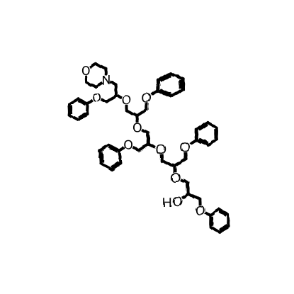 OC(COc1ccccc1)COC(COc1ccccc1)COC(COc1ccccc1)COC(COc1ccccc1)COC(COc1ccccc1)CN1CCOCC1